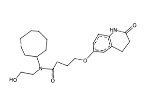 O=C1CCc2cc(OCCCC(=O)N(CCO)C3CCCCCCC3)ccc2N1